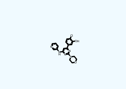 Oc1cc(-c2cc(Nc3cccnc3)nc(N3CCOCC3)n2)ccc1Cl